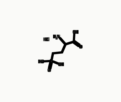 Cl.NC(CCP(=O)(O)O)C(=O)O